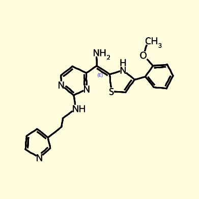 COc1ccccc1C1=CS/C(=C(/N)c2ccnc(NCCc3cccnc3)n2)N1